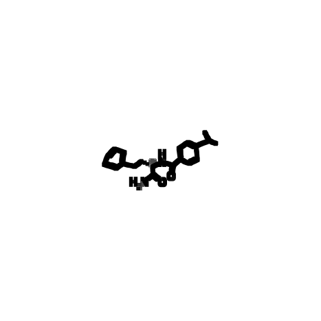 CC(C)c1ccc(C(=O)N[C@@H](CCc2ccccc2)C(N)=O)cc1